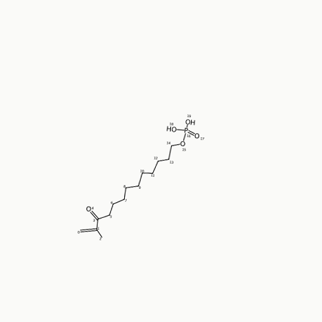 C=C(C)C(=O)CCCCCCCCCCOP(=O)(O)O